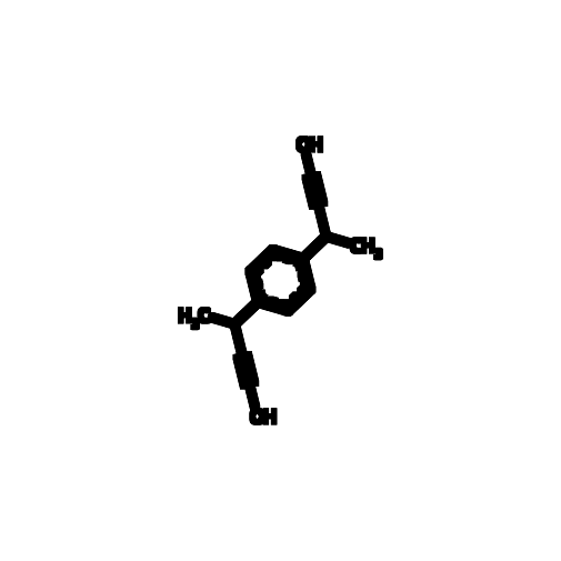 CC(C#CO)c1ccc(C(C)C#CO)cc1